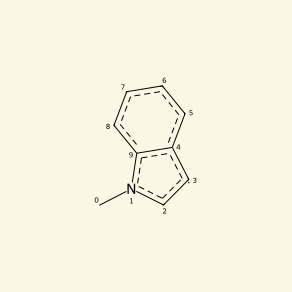 Cn1c[c]c2ccccc21